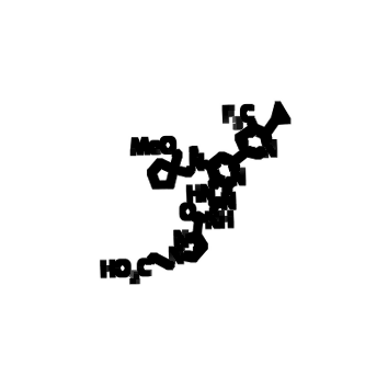 COCC1(CN(C)c2cc(-c3cnc(C4CC4)c(C(F)(F)F)c3)nc3nc(NC(=O)c4ccn(CCC(=O)O)n4)[nH]c23)CCCC1